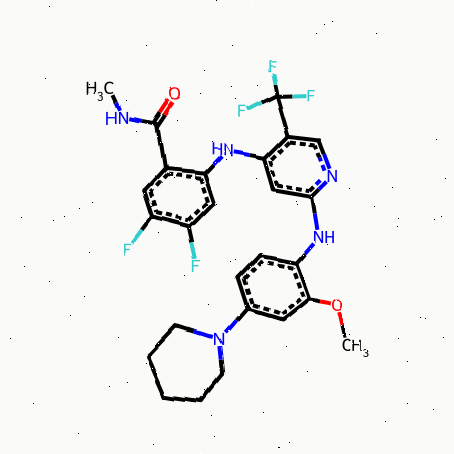 CNC(=O)c1cc(F)c(F)cc1Nc1cc(Nc2ccc(N3CCCCC3)cc2OC)ncc1C(F)(F)F